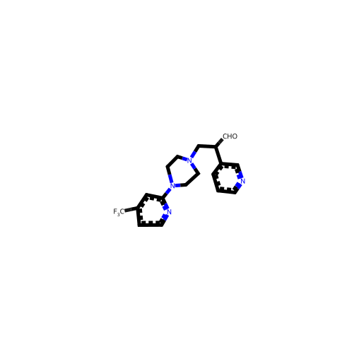 O=CC(CN1CCN(c2cc(C(F)(F)F)ccn2)CC1)c1cccnc1